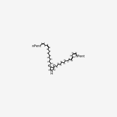 CCCCC/C=C\C/C=C\CCCCCCCCOC1CNC[C@@H]1OCCCCCCCC/C=C\C/C=C\CCCCC